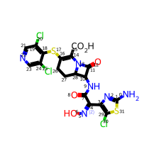 Nc1nc(/C(=N/O)C(=O)NC2C(=O)N3C(C(=O)O)=C(Sc4c(Cl)cncc4Cl)CCC23)c(Cl)s1